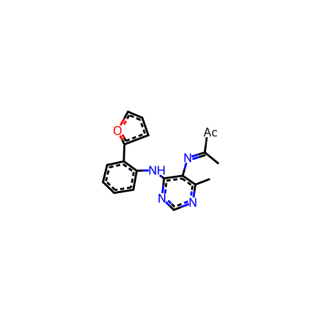 CC(=O)/C(C)=N/c1c(C)ncnc1Nc1ccccc1-c1ccco1